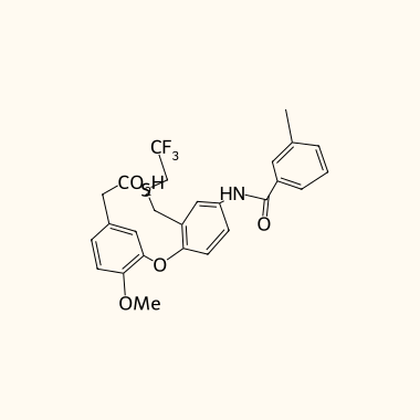 COc1ccc(CC(=O)O)cc1Oc1ccc(NC(=O)c2cccc(C)c2)cc1CSCC(F)(F)F